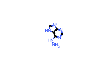 NNc1ncnc2c1NC=[N+]2